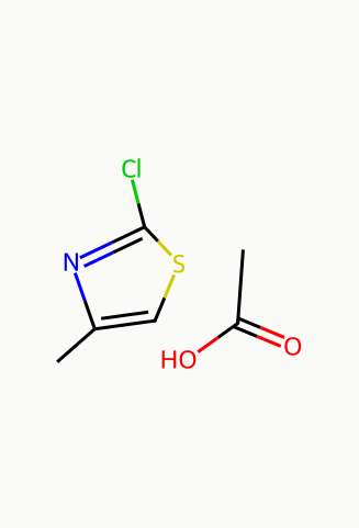 CC(=O)O.Cc1csc(Cl)n1